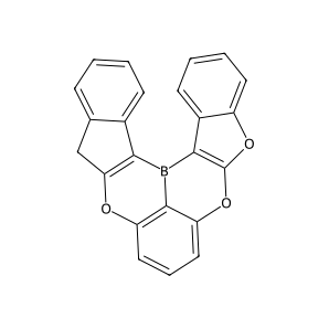 c1ccc2c(c1)CC1=C2B2c3c(cccc3Oc3oc4ccccc4c32)O1